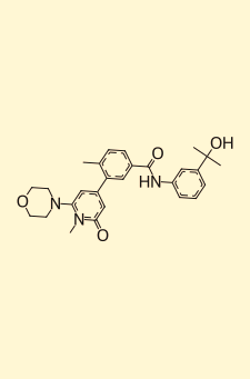 Cc1ccc(C(=O)Nc2cccc(C(C)(C)O)c2)cc1-c1cc(N2CCOCC2)n(C)c(=O)c1